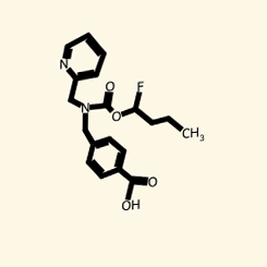 CCCC(F)OC(=O)N(Cc1ccc(C(=O)O)cc1)Cc1ccccn1